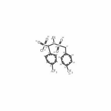 CCN(C(c1ccc(C(F)(F)F)cc1)S(=O)(=O)Cl)S(=O)(=O)Cc1ccc(C(F)(F)F)cc1